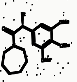 CC[C@H](C(=O)N1CCCCCC1)c1cc(OC)c(OC)c(OC)c1